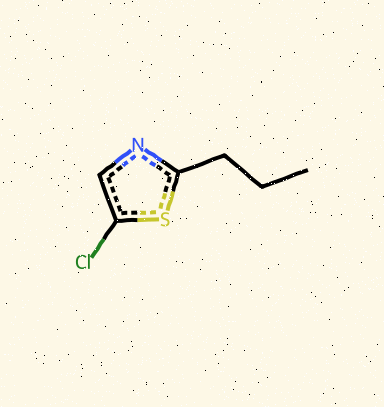 CCCc1ncc(Cl)s1